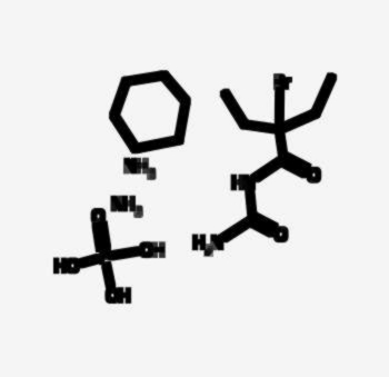 C1CCCCC1.CCC(Br)(CC)C(=O)NC(N)=O.N.N.O=P(O)(O)O